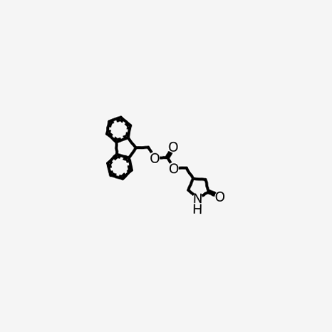 O=C1CC(COC(=O)OCC2c3ccccc3-c3ccccc32)CN1